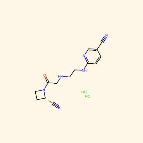 Cl.Cl.N#Cc1ccc(NCCNCC(=O)N2CC[C@H]2C#N)nc1